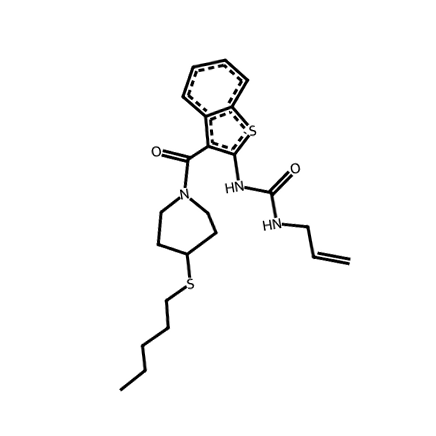 C=CCNC(=O)Nc1sc2ccccc2c1C(=O)N1CCC(SCCCCC)CC1